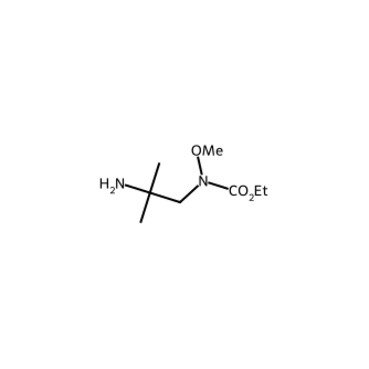 CCOC(=O)N(CC(C)(C)N)OC